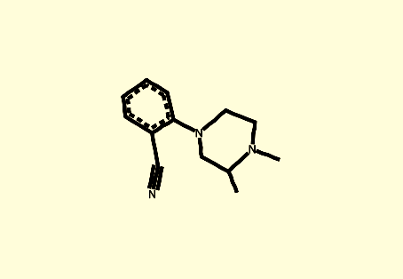 CC1CN(c2ccccc2C#N)CCN1C